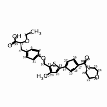 CCO[C@@H](Cc1ccc(OCc2sc(-c3ccc(C(=O)N4CCOCC4)cc3)cc2C)cc1)C(=O)O